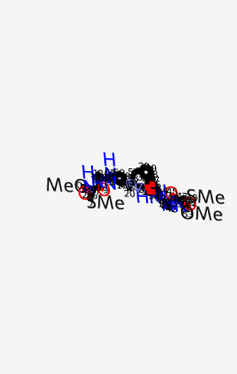 COC(=O)N[C@@H](CCSC)C(=O)N1CC[C@H]1c1nc2cc(/C(C)=C3/C=C\[C@H](C)CCc4ccc(cc4-c4ccc5[nH]c([C@@H]6CCN6C(=O)[C@H](CCSC)NC(=O)OC)nc5c4)CC3)ccc2[nH]1